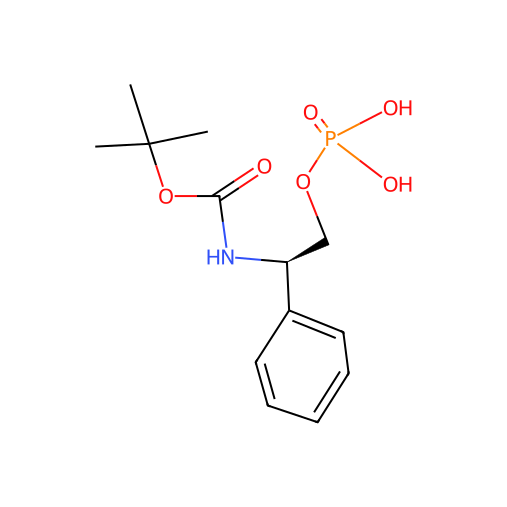 CC(C)(C)OC(=O)N[C@@H](COP(=O)(O)O)c1ccccc1